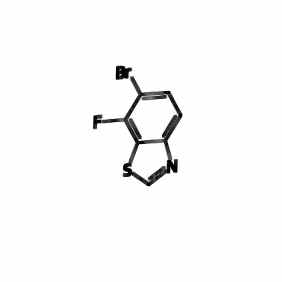 Fc1c(Br)ccc2ncsc12